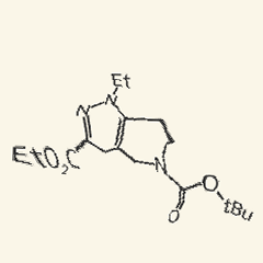 CCOC(=O)c1nn(CC)c2c1CN(C(=O)OC(C)(C)C)CC2